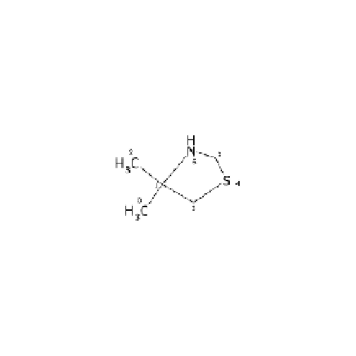 CC1(C)CSCN1